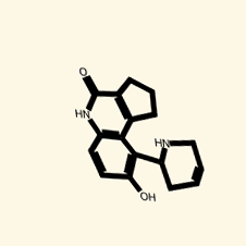 O=c1[nH]c2ccc(O)c(C3CC=CCN3)c2c2c1CCC2